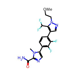 COCCn1ncc(-c2ccc(-c3cnc(C(N)=O)n3C)c(F)c2F)c1C(F)F